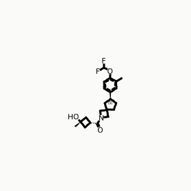 Cc1cc([C@H]2CCC3(C2)CN(C(=O)[C@H]2C[C@@](C)(O)C2)C3)ccc1OC(F)F